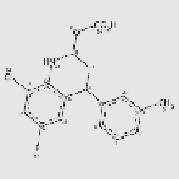 Cc1cccc(C2CC(OC(=O)O)Nc3c(Cl)cc(F)cc32)c1